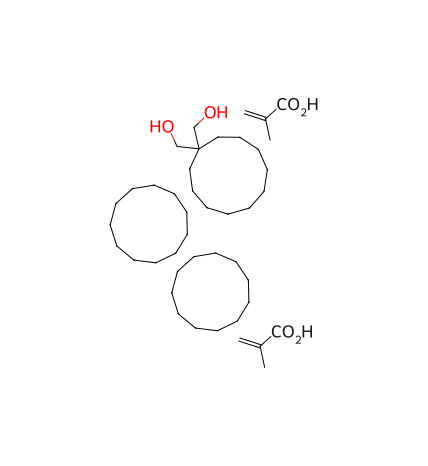 C1CCCCCCCCCC1.C1CCCCCCCCCC1.C=C(C)C(=O)O.C=C(C)C(=O)O.OCC1(CO)CCCCCCCCCC1